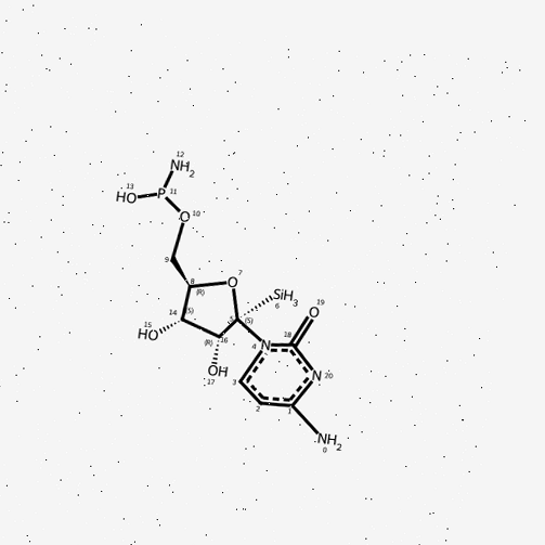 Nc1ccn([C@]2([SiH3])O[C@H](COP(N)O)[C@@H](O)[C@H]2O)c(=O)n1